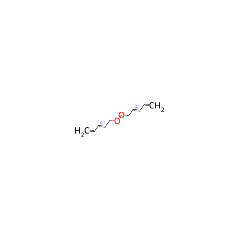 C=C/C=C/COOC/C=C/C=C